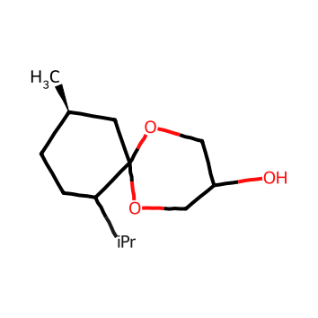 CC(C)C1CC[C@@H](C)CC12OCC(O)CO2